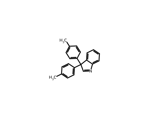 Cc1ccc(C2(c3ccc(C)cc3)C=Nc3ccccc32)cc1